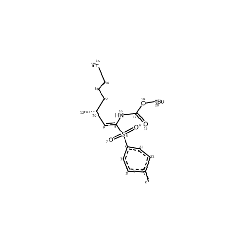 Cc1ccc(S(=O)(=O)C(=C[C@H](C)CCCC(C)C)NC(=O)OC(C)(C)C)cc1